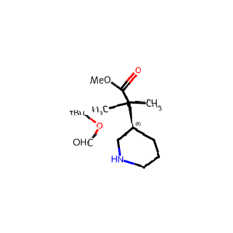 CC(C)(C)OC=O.COC(=O)C(C)(C)[C@H]1CCCNC1